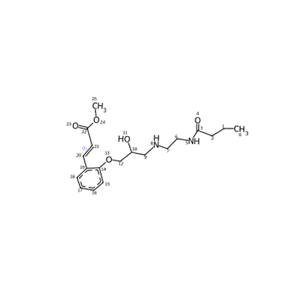 CCCC(=O)NCCNCC(O)COc1ccccc1/C=C/C(=O)OC